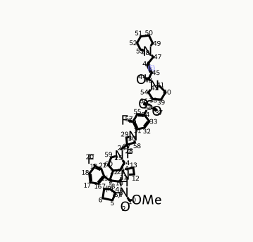 COC(=O)N[C@H]1CCC[C@@H]1C(CN1CCC1)(c1cccc(F)c1)C1CCN(CC2(F)CN(c3ccc(S(=O)(=O)C4CCCN(C(=O)/C=C/CN5CCCCC5)C4)cc3F)C2)CC1